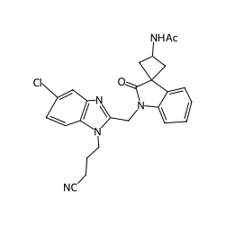 CC(=O)NC1CC2(C1)C(=O)N(Cc1nc3cc(Cl)ccc3n1CCCC#N)c1ccccc12